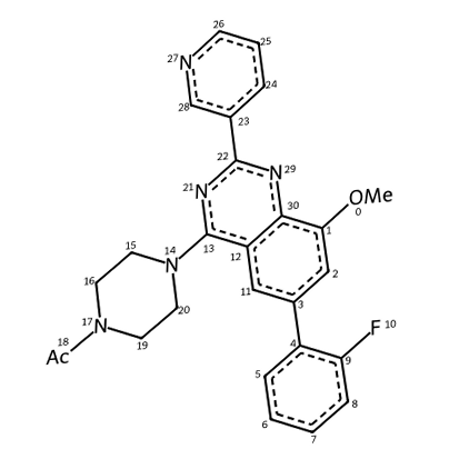 COc1cc(-c2ccccc2F)cc2c(N3CCN(C(C)=O)CC3)nc(-c3cccnc3)nc12